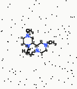 CN1CCN(C)C(C2CN(C)CCN2C)C1